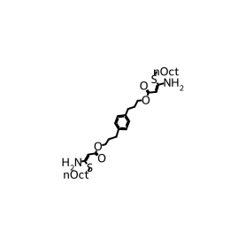 CCCCCCCCSC(N)=CC(=O)OCCCc1ccc(CCCOC(=O)C=C(N)SCCCCCCCC)cc1